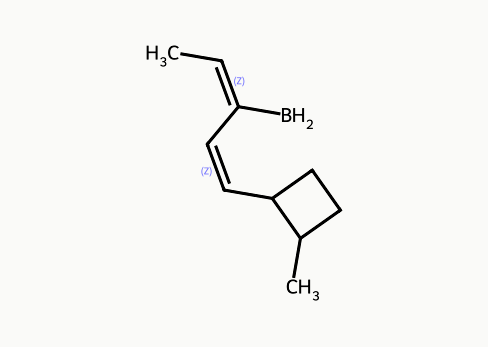 BC(/C=C\C1CCC1C)=C/C